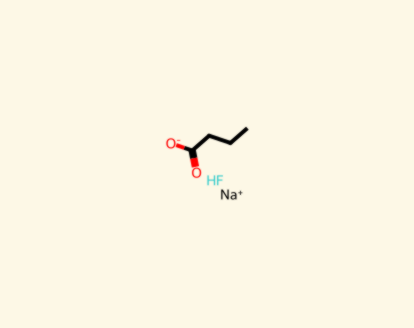 CCCC(=O)[O-].F.[Na+]